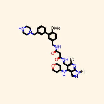 CCc1nc2c(cnn2CC)c(NC2CCOCC2)c1CNC(=O)CC(=O)NCc1ccc(OC)c(-c2cccc(CN3CCNCC3)c2)c1